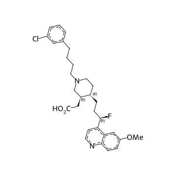 COc1ccc2nccc([C@H](F)CC[C@@H]3CCN(CCCCc4cccc(Cl)c4)C[C@@H]3CC(=O)O)c2c1